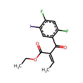 CC=C(C(=O)OCC)C(=O)c1cc(I)c(F)cc1F